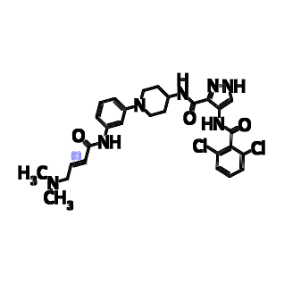 CN(C)C/C=C/C(=O)Nc1cccc(N2CCC(NC(=O)c3n[nH]cc3NC(=O)c3c(Cl)cccc3Cl)CC2)c1